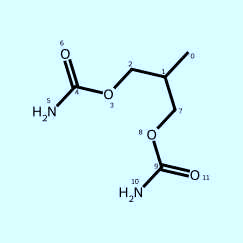 CC(COC(N)=O)COC(N)=O